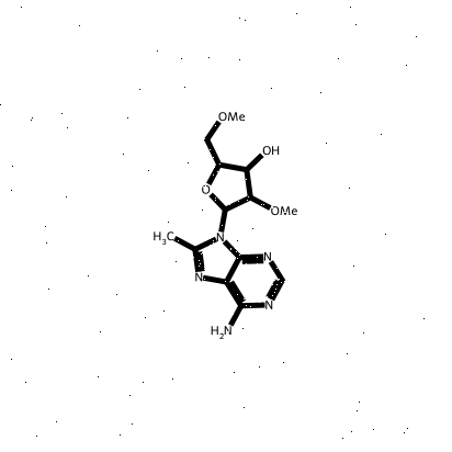 COCC1OC(n2c(C)nc3c(N)ncnc32)C(OC)C1O